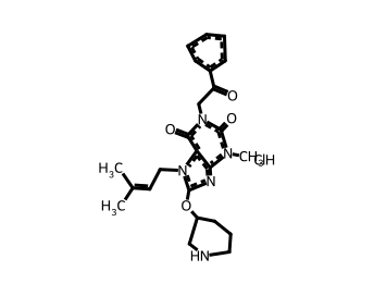 CC(C)=CCn1c(OC2CCCNC2)nc2c1c(=O)n(CC(=O)c1ccccc1)c(=O)n2C.Cl